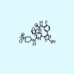 CC(C)c1nc(-c2ccc(F)c(NS(=O)(=O)c3ccco3)c2)c(-c2ccnc(NC3CCN(S(C)(=O)=O)CC3)n2)s1